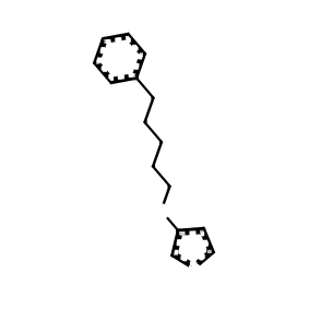 [c]1sccc1OCCCCCc1ccccc1